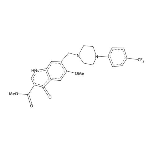 COC(=O)c1c[nH]c2cc(CN3CCN(c4ccc(C(F)(F)F)cc4)CC3)c(OC)cc2c1=O